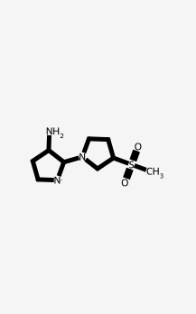 CS(=O)(=O)C1CCN(C2[N]CCC2N)C1